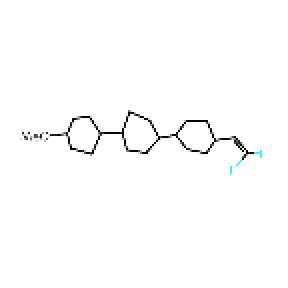 COC1CCC(C2CCC(C3CCC(C=C(F)F)CC3)CC2)CC1